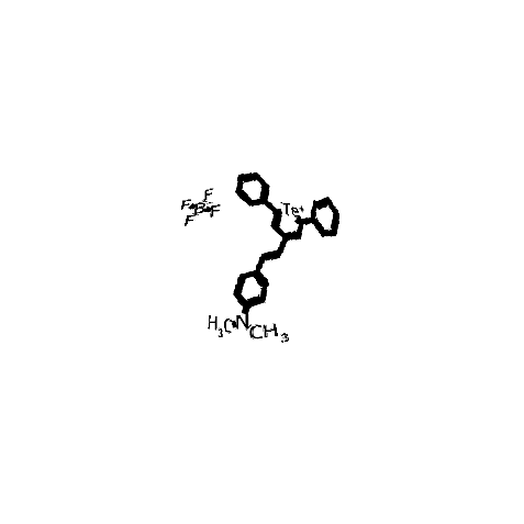 CN(C)c1ccc(C=Cc2cc(-c3ccccc3)[te+]c(-c3ccccc3)c2)cc1.F[B-](F)(F)F